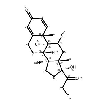 C[C@]12C=CC(=O)C=C1CC[C@H]1[C@@H]3CC[C@](O)(C(=O)CF)[C@@]3(C)CC(Cl)[C@@]12Cl